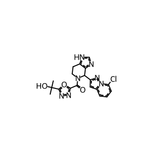 CC(C)(O)c1nnc(C(=O)N2CCc3[nH]cnc3C2c2cc3cccc(Cl)n3n2)o1